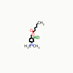 CCCCCC(=O)OCc1ccc(N(C)C)cc1.Cl.Cl